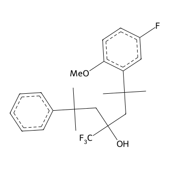 COc1ccc(F)cc1C(C)(C)CC(O)(CC(C)(C)c1ccccc1)C(F)(F)F